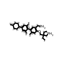 CCC(CC)(CP)COc1cc(C)c(-c2c(F)cc(C3CCC(C)CC3)cc2F)cc1CP